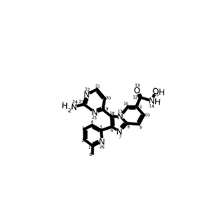 Cc1cccc(-c2nc3ccc(C(=O)NO)cn3c2-c2ccnc(N)n2)n1